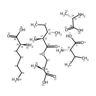 CC(C)[C@H](N)C(=O)O.CC[C@H](C)[C@H](N)C(=O)OC[C@H](N)C(=O)O.C[C@H](N)C(=O)O.NCCCC[C@H](N)C(=O)O